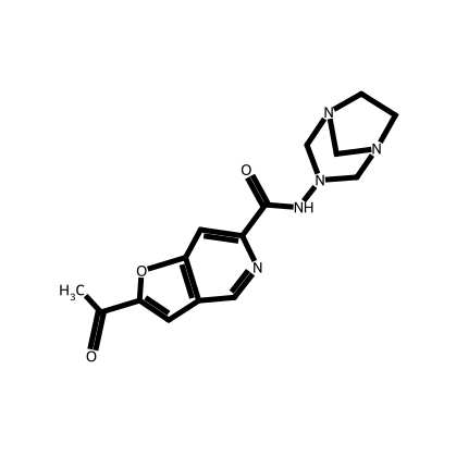 CC(=O)c1cc2cnc(C(=O)NN3CN4CCN(C4)C3)cc2o1